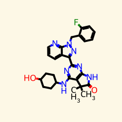 CC1(C)C(=O)Nc2nc(-c3nn(Cc4ccccc4F)c4ncccc34)nc(NC3CCC(O)CC3)c21